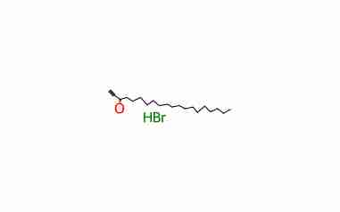 Br.C#CC(=O)CCCCCCCCCCCCCCCCC